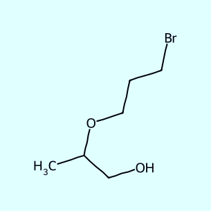 CC(CO)OCCCBr